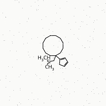 C[SiH](C)CC1(C2=CC=CC2)CCCCCCCCCCC1